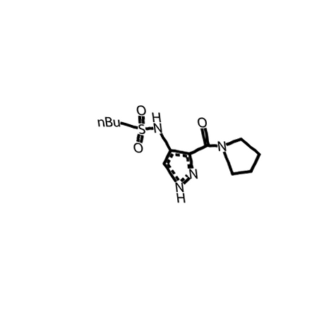 CCCCS(=O)(=O)Nc1c[nH]nc1C(=O)N1CCCC1